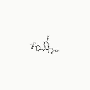 Cc1c(CC(=O)O)c2cc(C#N)ccn2c1Sc1ccc(S(C)(=O)=O)cc1